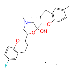 Cc1ccc2c(c1)CCC(C1(O)CN(C)CC(C3CCc4cc(F)ccc4O3)O1)O2